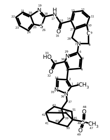 Cc1c(-c2ccc(N3CCc4cccc(C(=O)Nc5nc6ccccc6s5)c4C3)nc2C(=O)O)cnn1CC12CC3CC(C1)CC(S(C)(=O)=O)(C3)C2